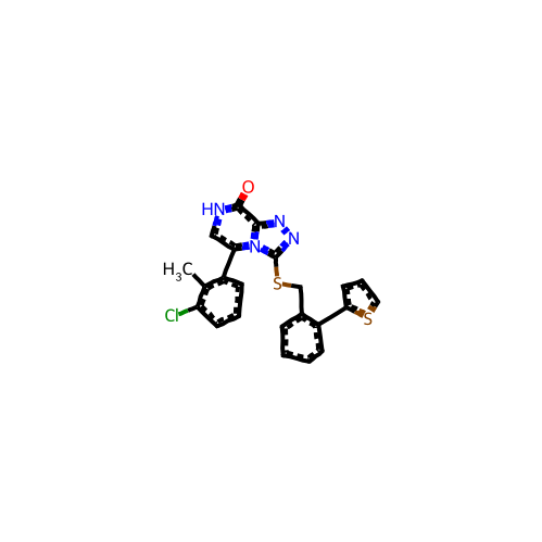 Cc1c(Cl)cccc1-c1c[nH]c(=O)c2nnc(SCc3ccccc3-c3cccs3)n12